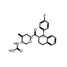 C=C1C[C@@H](C(=O)N2CCc3ccccc3[C@@H]2c2ccc(F)cc2)OC[C@@H]1NC(=O)O